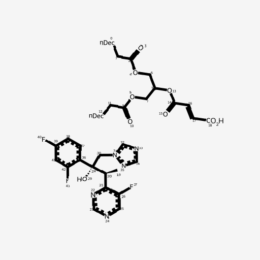 CCCCCCCCCCCC(=O)OCC(COC(=O)CCCCCCCCCCC)OC(=O)/C=C/C(=O)O.C[C@@H](c1ncncc1F)[C@](O)(Cn1cncn1)c1ccc(F)cc1F